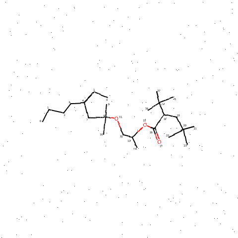 CCCCC(CC)CC(C)(C)OCC(C)OC(=O)C(CC(C)(C)C)C(C)(C)C